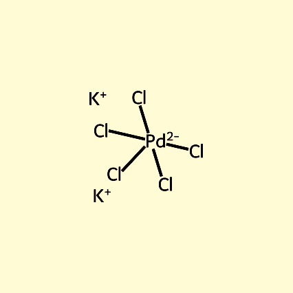 [Cl][Pd-2]([Cl])([Cl])([Cl])[Cl].[K+].[K+]